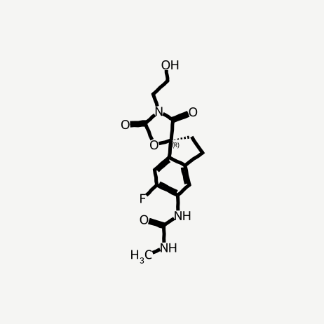 CNC(=O)Nc1cc2c(cc1F)[C@@]1(CC2)OC(=O)N(CCO)C1=O